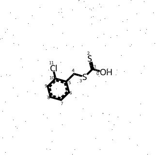 OC(=S)SCc1ccccc1Cl